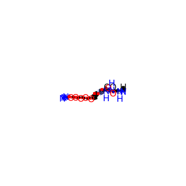 C=C(/C=C\C(=C/C)c1ccc2cc(OCCOCCOCCOCCOCCN=[N+]=[N-])ccc2c1)[C@H](CC(=O)O)NC(=O)CNC(=O)CCCNc1cc(C)ccn1